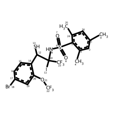 Cc1cc(C)c(S(=O)(=O)NC(I)(C(S)c2ccc(Br)cc2OC(F)(F)F)C(F)(F)F)c(C)c1